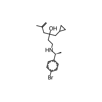 C=C(C)CC(O)(CCN[C@@H](C)c1ccc(Br)cc1)CC1CC1